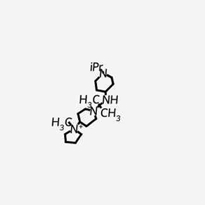 CC(C)N1CCC(NC(C)(C)N2CCC([N+]3(C)CCCC3)CC2)CC1